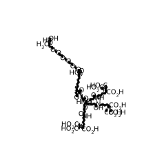 CC(CCOCCOCCOCCOCCOCCOP(=O)(O)OCCCCCCSC1CC(=O)N(CCC(=O)NC(COCCC(=O)NCCCCC(C(=O)O)N(CC(=O)O)CC(=O)O)(COCCC(=O)NCCCCC(C(=O)O)N(CC(=O)O)CC(=O)O)COCCC(O)NCCCCC(C(=O)O)N(CC(=O)O)CC(=O)O)C1=O)OPO